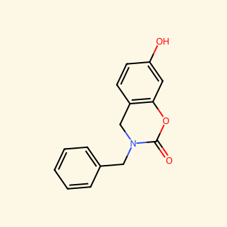 O=C1Oc2cc(O)ccc2CN1Cc1ccccc1